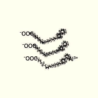 O=C([O-])CCCCCCC/C=C\CCCCCCCCc1ccc(-c2ccccc2)cc1.O=C([O-])CCCCCCC/C=C\CCCCCCCCc1ccc(-c2ccccc2)cc1.O=C([O-])CCCCCCC/C=C\CCCCCCCCc1ccc(-c2ccccc2)cc1.[Al+3]